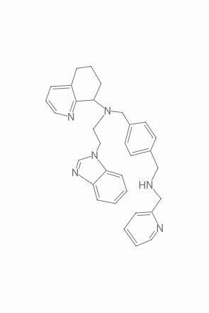 c1ccc(CNCc2ccc(CN(CCn3cnc4ccccc43)C3CCCc4cccnc43)cc2)nc1